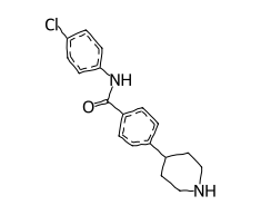 O=C(Nc1ccc(Cl)cc1)c1ccc(C2CCNCC2)cc1